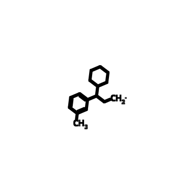 [CH2]CC(c1cccc(C)c1)C1CCCCC1